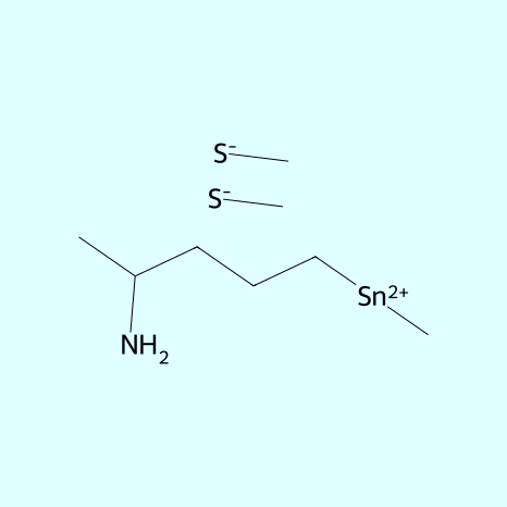 C[S-].C[S-].[CH3][Sn+2][CH2]CCC(C)N